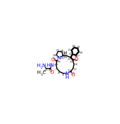 C[C@H](N)C(=O)N[C@H]1CCCNC(=O)CCc2oc3ccccc3c2C[C@@H]2CCCN2C1=O